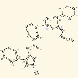 C=N/C=C(\C=C(/C)c1cccc(C(=O)Nc2cn(C)nc2-c2ccccn2)n1)NC1CCOCC1